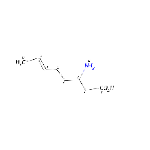 CC=CCCC(N)CC(=O)O